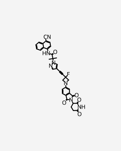 CC(C)(C(=O)Nc1ccc(C#N)c2ccccc12)n1cc(C#CC2(F)CN(c3ccc4c(c3)C(=O)N(C3CCC(=O)NC3=O)C4=O)C2)cn1